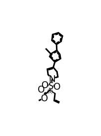 C=CC[C@@H](C(=O)OC)S(=O)(=O)N1CC=C(c2ccc(-c3ccccc3)c(C)c2)CC1